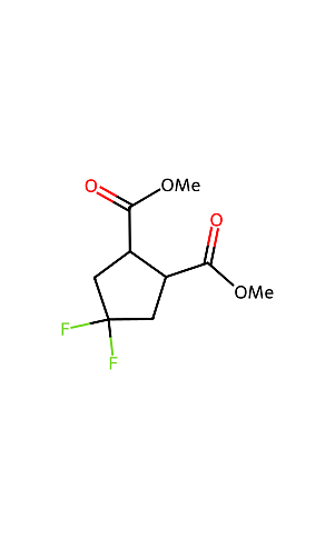 COC(=O)C1CC(F)(F)CC1C(=O)OC